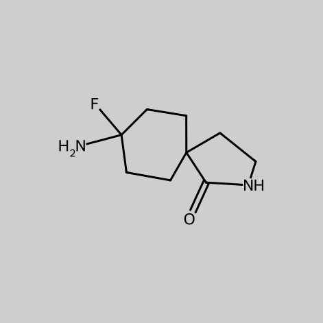 NC1(F)CCC2(CCNC2=O)CC1